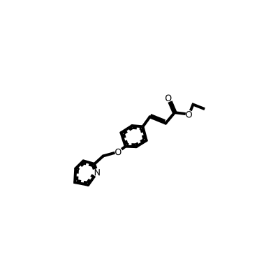 CCOC(=O)/C=C/c1ccc(OCc2ccccn2)cc1